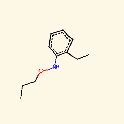 CCCONc1ccccc1CC